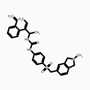 C=Cc1ccccc1/C(=C\C)C(C)NC(=O)Nc1ccc(S(=O)(=O)Cc2ccc3c(c2)CN(C)C3)cc1